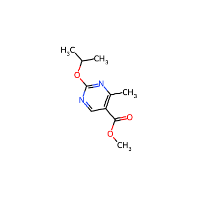 COC(=O)c1cnc(OC(C)C)nc1C